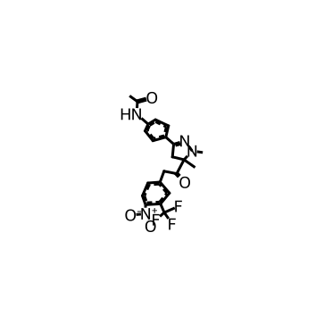 CC(=O)Nc1ccc(C2=NN(C)C(C)(C(=O)Cc3ccc([N+](=O)[O-])c(C(F)(F)F)c3)C2)cc1